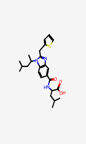 CC(C)CC(NC(=O)c1ccc2c(c1)nc(Cc1cccs1)n2C(C)CC(C)C)C(=O)O